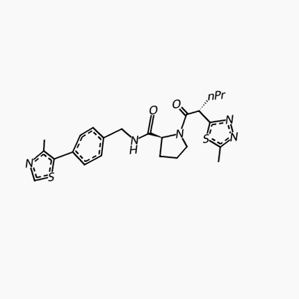 CCC[C@@H](C(=O)N1CCC[C@H]1C(=O)NCc1ccc(-c2scnc2C)cc1)c1nnc(C)s1